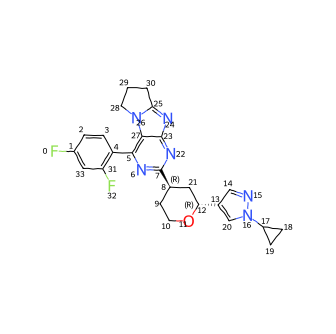 Fc1ccc(-c2nc([C@@H]3CCO[C@@H](c4cnn(C5CC5)c4)C3)nc3nc4n(c23)CCC4)c(F)c1